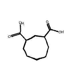 O=C(O)C1CCCCCC(C(=O)O)C1